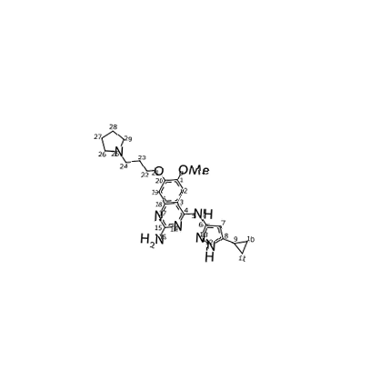 COc1cc2c(Nc3cc(C4CC4)[nH]n3)nc(N)nc2cc1OCCCN1CCCC1